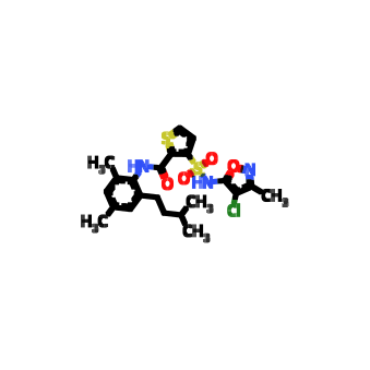 Cc1cc(C)c(NC(=O)c2sccc2S(=O)(=O)Nc2onc(C)c2Cl)c(CCC(C)C)c1